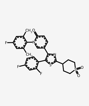 Cc1cc(F)cc(C)c1-n1cc(-c2nc(C3CCS(=O)(=O)CC3)sc2-c2ccc(F)cc2F)ccc1=O